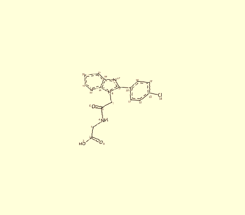 O=C(O)CNC(=O)Cn1c(-c2ccc(Cl)cc2)nc2cccnc21